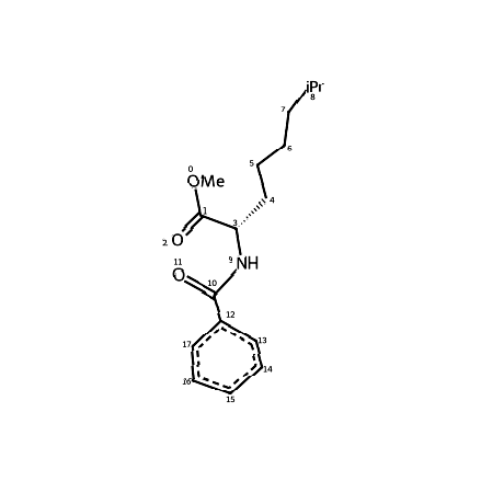 COC(=O)[C@H](CCCCC(C)C)NC(=O)c1ccccc1